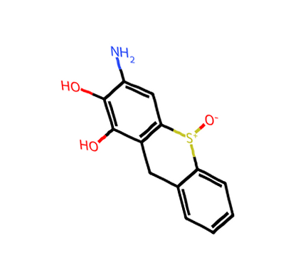 Nc1cc2c(c(O)c1O)Cc1ccccc1[S+]2[O-]